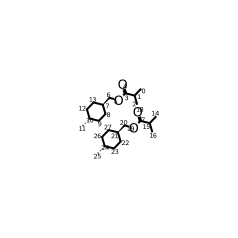 CC(C)C(=O)OC[C@H]1CC[C@H](C)CC1.CC(C)C(=O)OC[C@H]1CC[C@H](C)CC1